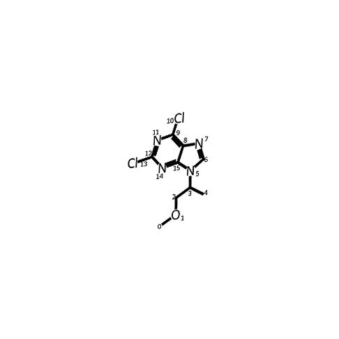 COCC(C)n1cnc2c(Cl)nc(Cl)nc21